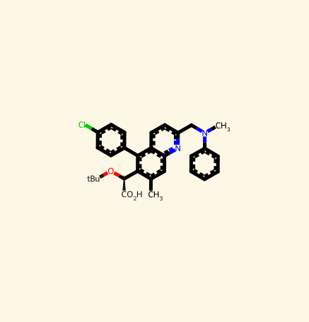 Cc1cc2nc(CN(C)c3ccccc3)ccc2c(-c2ccc(Cl)cc2)c1[C@H](OC(C)(C)C)C(=O)O